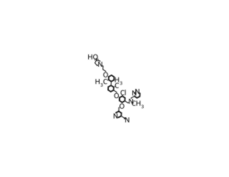 Cc1c(COc2cc(OCc3cncc(C#N)c3)c(CN(C)Cc3cccnn3)cc2Cl)cccc1-c1cccc(OCCCN2CC[C@@H](O)C2)c1C